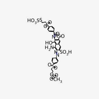 CS(=O)(=O)OCCS(=O)(=O)c1ccc(/N=N/c2c(S(=O)(=O)O)cc3cc([SH](=O)=O)c(/N=N/c4ccc(S(=O)(=O)CCSS(=O)(=O)O)cc4)c(O)c3c2N)cc1